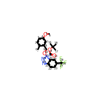 [CH2]c1ccc(OC)cc1CO[N+]1(C(=O)OC(C)(C)C)N=Nc2ccc(C(F)(F)F)cc21